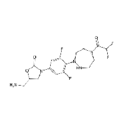 NC[C@H]1CN(c2cc(F)c(N3CCN(C(=O)C(F)F)CCN3)c(F)c2)C(=O)O1